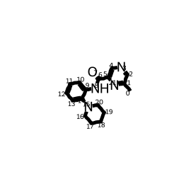 Cc1cncc(C(=O)Nc2ccccc2N2CCCCC2)n1